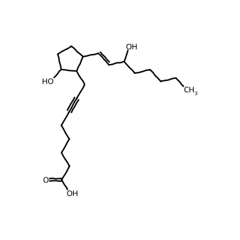 CCCCCC(O)/C=C/C1CCC(O)C1CC#CCCCCC(=O)O